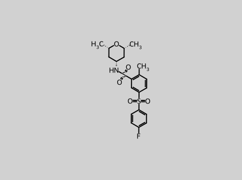 Cc1ccc(S(=O)(=O)c2ccc(F)cc2)cc1S(=O)(=O)N[C@H]1C[C@@H](C)O[C@@H](C)C1